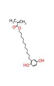 C=C(C)C(=O)OCCCCCCCCCCCc1cc(O)ccc1O